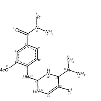 COc1cc(C(=O)N(N)C(C)C)ccc1NC1NC=C(Cl)C(N(C)N)N1